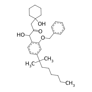 CCCCCCC(C)(C)c1ccc(C(O)C(=O)CC2(O)CCCCC2)c(OCc2ccccc2)c1